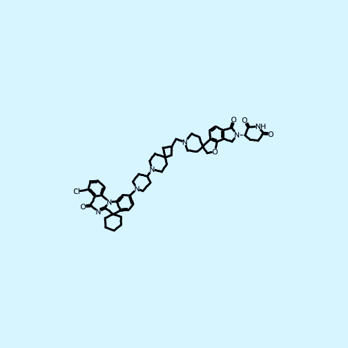 O=C1CC[C@H](N2Cc3c(ccc4c3OCC43CCN(CC4CC5(CCN(C6CCN(c7ccc8c(c7)-n7c(nc(=O)c9c(Cl)cccc97)C87CCCCC7)CC6)CC5)C4)CC3)C2=O)C(=O)N1